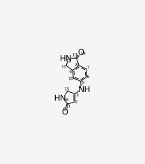 O=C1C=C(Nc2ccc3c(c2)CNC3=O)CN1